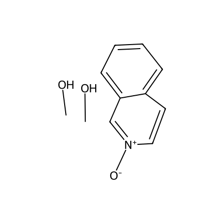 CO.CO.[O-][n+]1ccc2ccccc2c1